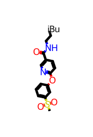 CCC(C)CCNC(=O)c1ccc(Oc2cccc(S(C)(=O)=O)c2)nc1